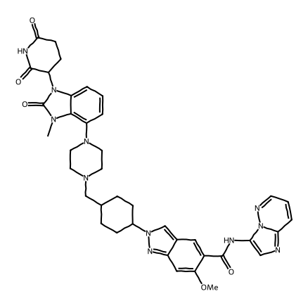 COc1cc2nn(C3CCC(CN4CCN(c5cccc6c5n(C)c(=O)n6C5CCC(=O)NC5=O)CC4)CC3)cc2cc1C(=O)Nc1cnc2cccnn12